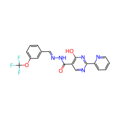 O=C(N/N=C/c1cccc(OC(F)(F)F)c1)c1cnc(-c2ccccn2)nc1O